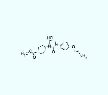 COC(=O)[C@H]1CC[C@H](N2CCN(c3ccc(OCCN)cc3)C2=O)CC1.Cl